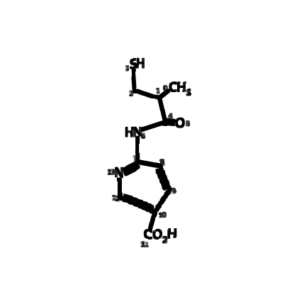 CC(CS)C(=O)Nc1ccc(C(=O)O)cn1